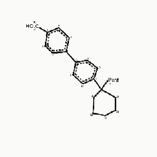 CCCC(C)C1(c2ccc(-c3ccc(C(=O)O)cc3)cc2)CCCCC1